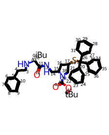 CC[C@H](C)[C@H](NCCc1ccccc1)C(=O)NCC1CC(SC(c2ccccc2)(c2ccccc2)c2ccccc2)CN1C(=O)OC(C)(C)C